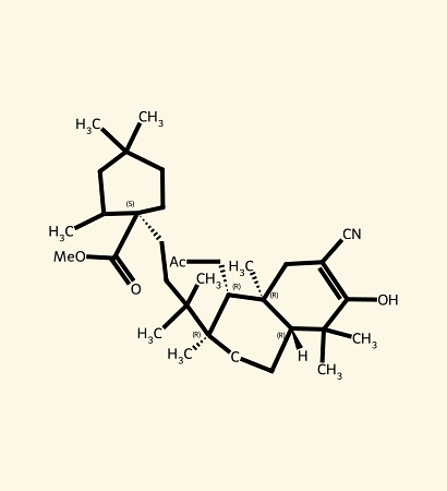 COC(=O)[C@]1(CCC(C)(C)[C@]2(C)CC[C@H]3C(C)(C)C(O)=C(C#N)C[C@]3(C)[C@H]2CC(C)=O)CCC(C)(C)CC1C